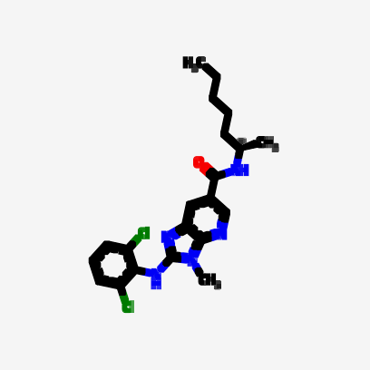 CCCCC[C@@H](C)NC(=O)c1cnc2c(c1)nc(Nc1c(Cl)cccc1Cl)n2C